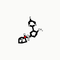 Cc1ccc(NC(=O)N2C3CC(C)CC2C3)cc1-c1ncc(F)cn1